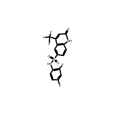 O=c1cc(C(F)(F)F)c2cc(S(=O)(=O)Nc3ccc(F)cc3F)ccc2[nH]1